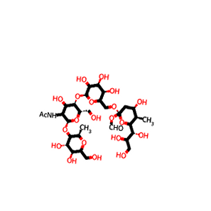 CC(=O)NC1C(O)[C@H](O[C@@H]2OC(CO[C@]3(OC=O)C[C@@H](O)[C@@H](C)C([C@H](O)C(O)CO)O3)[C@H](O)[C@H](O)C2O)[C@H](CO)O[C@H]1OC1[C@@H](O)[C@H](O)C(CO)O[C@@H]1C